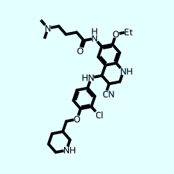 CCOc1cc2c(cc1NC(=O)CCCN(C)C)C(Nc1ccc(OCC3CCCNC3)c(Cl)c1)C(C#N)CN2